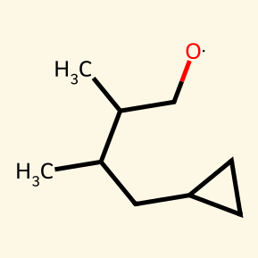 CC(C[O])C(C)CC1CC1